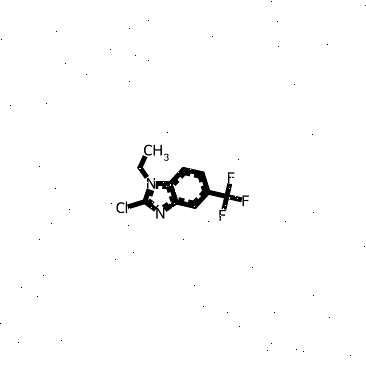 CCn1c(Cl)nc2cc(C(F)(F)F)ccc21